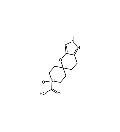 O=C(O)[N+]1([O-])CCC2(CCc3n[nH]cc3O2)CC1